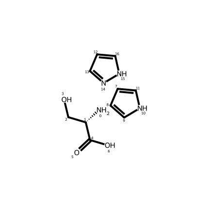 N[C@@H](CO)C(=O)O.c1cc[nH]c1.c1cn[nH]c1